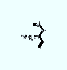 C=CCOS(=O)(=O)O.N.N.O